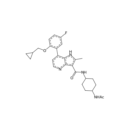 CC(=O)NC1CCC(NC(=O)c2c(C)[nH]c3c(-c4cc(F)ccc4OCC4CC4)ccnc23)CC1